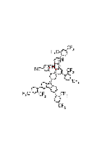 N#Cc1ccc(-n2c3ccc(-c4ccc(C(F)(F)F)cc4C(F)(F)F)cc3c3cc(-c4ccc(C(F)(F)F)cc4C(F)(F)F)ccc32)c(-c2cc(-n3c4ccc(-c5ccc(C(F)(F)F)cc5C(F)(F)F)cc4c4cc(-c5ccc(C(F)(F)F)cc5C(F)(F)F)ccc43)ccc2-c2ccc(C#N)cc2C(F)(F)F)c1